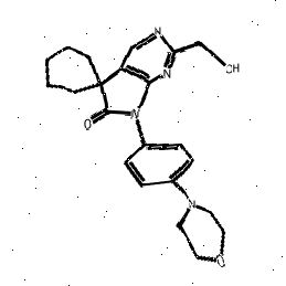 O=C1N(c2ccc(N3CCOCC3)cc2)c2nc(CO)ncc2C12CCCCC2